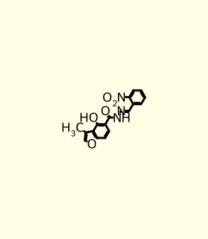 Cc1coc2ccc(C(=O)NN=Cc3ccccc3[N+](=O)[O-])c(O)c12